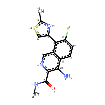 CCCNC(=O)c1ncc2c(-c3csc(C#N)n3)c(F)ccc2c1N